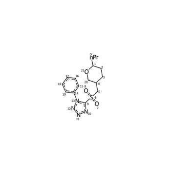 CCCC1CCC(CS(=O)(=O)c2nnnn2-c2ccccc2)CO1